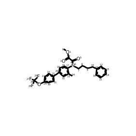 COC(=O)C(=O)N(CCCCc1ccccc1)c1ccc(-c2ccc(OC(F)(F)F)cc2)cc1C